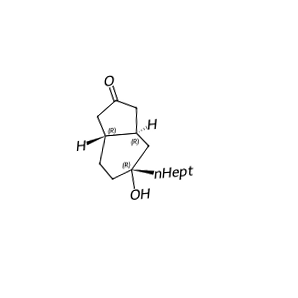 CCCCCCC[C@@]1(O)CC[C@@H]2CC(=O)C[C@H]2C1